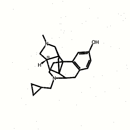 CN1C[C@H]2CC34CCC1C2C31CCN(CC2CC2)C4Cc2ccc(O)cc21